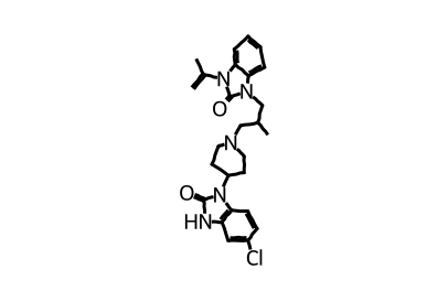 C=C(C)n1c(=O)n(CC(C)CN2CCC(n3c(=O)[nH]c4cc(Cl)ccc43)CC2)c2ccccc21